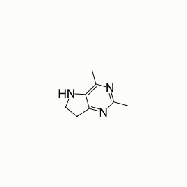 Cc1nc(C)c2c(n1)CCN2